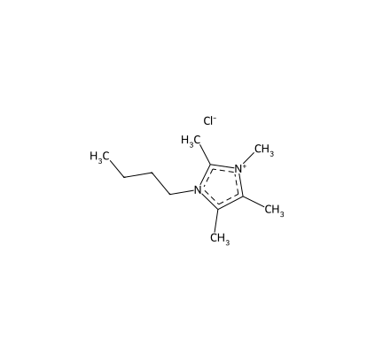 CCCCn1c(C)c(C)[n+](C)c1C.[Cl-]